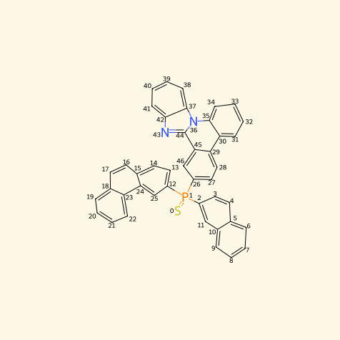 S=P(c1ccc2ccccc2c1)(c1ccc2ccc3ccccc3c2c1)c1ccc2c3ccccc3n3c4ccccc4nc3c2c1